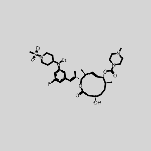 CCN(c1cc(F)cc(/C=C(\C)[C@H]2OC(=O)C[C@H](O)CC[C@H](C)[C@@H](OC(=O)N3CCN(C)CC3)/C=C/[C@@H]2C)c1)C1CCN(S(C)(=O)=O)CC1